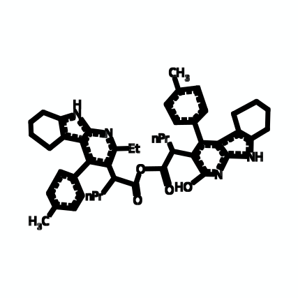 CCCC(C(=O)OC(=O)C(CCC)c1c(CC)nc2[nH]c3c(c2c1-c1ccc(C)cc1)CCCC3)c1c(O)nc2[nH]c3c(c2c1-c1ccc(C)cc1)CCCC3